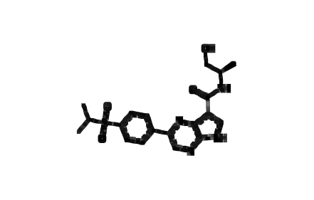 CC(C)S(=O)(=O)c1ccc(-c2cnc3[nH]cc(C(=O)N[C@H](C)CO)c3n2)cc1